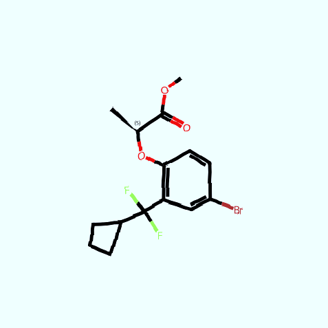 COC(=O)[C@H](C)Oc1ccc(Br)cc1C(F)(F)C1CCC1